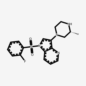 C[C@@H]1CN(c2cn(S(=O)(=O)c3ccccc3F)c3cccnc23)CCN1